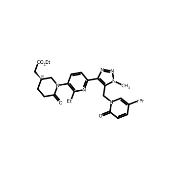 CCCc1ccc(=O)n(Cc2c(-c3ccc(N4C[C@H](CC(=O)OCC)CCC4=O)c(CC)n3)nnn2C)c1